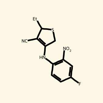 CCC1SCC(Nc2ccc(F)cc2[N+](=O)[O-])=C1C#N